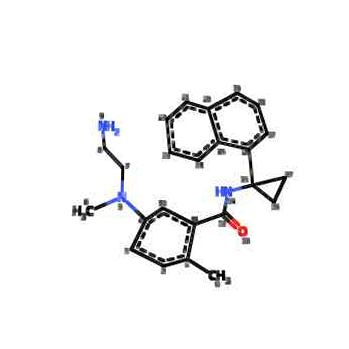 Cc1ccc(N(C)CCN)cc1C(=O)NC1(c2cccc3ccccc23)CC1